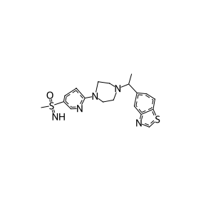 CC(c1ccc2scnc2c1)N1CCN(c2ccc(S(C)(=N)=O)cn2)CC1